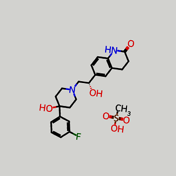 CS(=O)(=O)O.O=C1CCc2cc([C@H](O)CN3CCC(O)(c4cccc(F)c4)CC3)ccc2N1